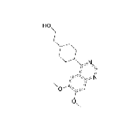 COc1cc2ncnc(C3CCC(CCO)CC3)c2cc1OC